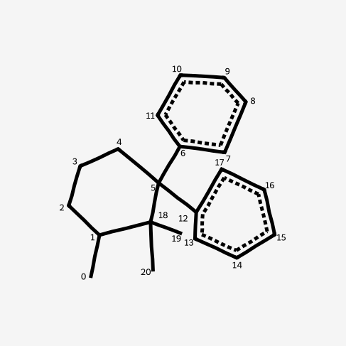 CC1CCCC(c2ccccc2)(c2ccccc2)C1(C)C